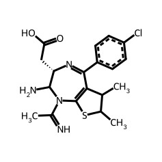 CC(=N)N1C2=C(C(c3ccc(Cl)cc3)=N[C@@H](CC(=O)O)C1N)C(C)C(C)S2